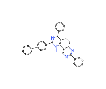 c1ccc(-c2ccc(C3=NC(c4ccccc4)C4=C(N3)c3cnc(-c5ccccc5)nc3CC4)cc2)cc1